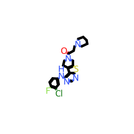 O=C(CCN1CCCCC1)N1CCc2c(sc3ncnc(Nc4ccc(F)c(Cl)c4)c23)C1